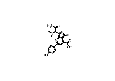 Cc1nn(C(C(N)=O)N(C)C)c2nc(-c3ccc(O)cc3)cc(C(=O)O)c12